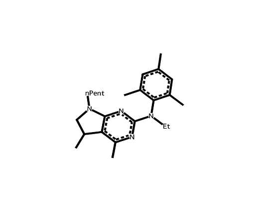 CCCCCN1CC(C)c2c(C)nc(N(CC)c3c(C)cc(C)cc3C)nc21